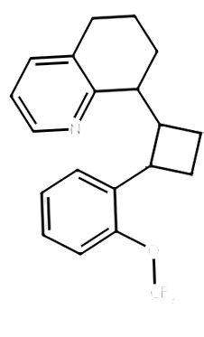 FC(F)(F)Oc1ccccc1[C]1CCC1C1CCCc2cccnc21